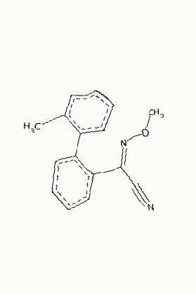 CON=C(C#N)c1ccccc1-c1ccccc1C